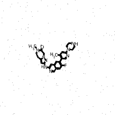 Cc1cc(N2CCNCC2)ncc1-c1cc2cc(Nc3cc4n(n3)CC(=O)N(C)CC4)ncc2cc1F